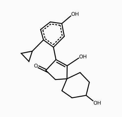 O=C1CC2(CCC(O)CC2)C(O)=C1c1cc(O)ccc1C1CC1